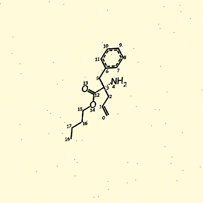 C=CC[C@](N)(Cc1ccccc1)C(=O)OCCCC